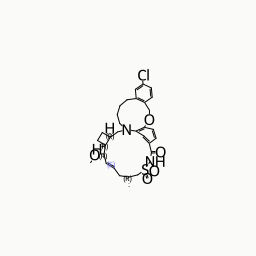 CO[C@H]1/C=C/C[C@@H](C)CS(=O)(=O)NC(=O)c2ccc3c(c2)N(CCCCc2cc(Cl)ccc2CO3)C[C@@H]2CC[C@H]21